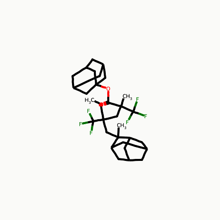 CCC(CC1(C)C2CC3CC(C2)CC1C3)(CC(C)(C(=O)OC12CC3CC(CC(C3)C1)C2)C(F)(F)F)C(F)(F)F